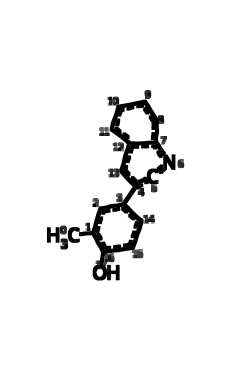 Cc1cc(-c2cnc3ccccc3c2)ccc1O